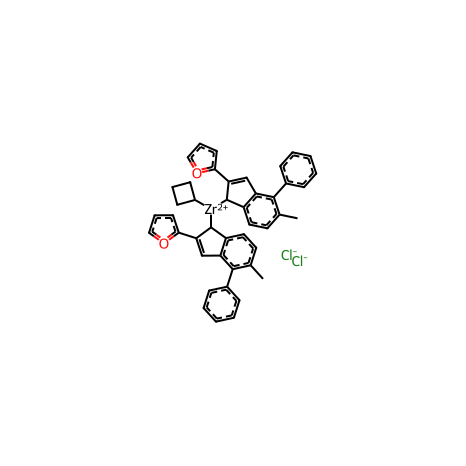 Cc1ccc2c(c1-c1ccccc1)C=C(c1ccco1)[CH]2[Zr+2]([CH]1CCC1)[CH]1C(c2ccco2)=Cc2c1ccc(C)c2-c1ccccc1.[Cl-].[Cl-]